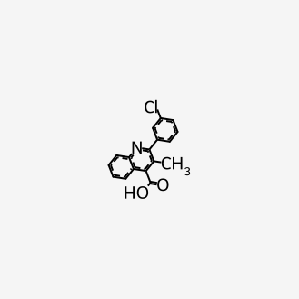 Cc1c(-c2cccc(Cl)c2)nc2ccccc2c1C(=O)O